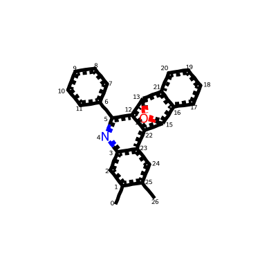 Cc1cc2nc(-c3ccccc3)c3c4oc(c5ccccc54)c3c2cc1C